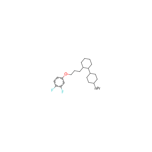 CCCC1CCC(C2CCCCC2CCCOc2ccc(F)c(F)c2)CC1